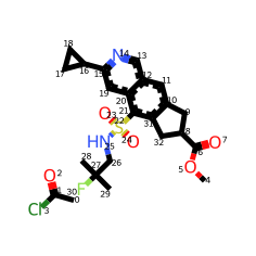 CC(=O)Cl.COC(=O)C1Cc2cc3cnc(C4CC4)cc3c(S(=O)(=O)NCC(C)(C)F)c2C1